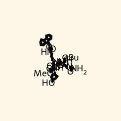 COC(=O)[C@H](Cc1ccc(O)cc1)NC(=O)[C@H](CCCCNC(=O)OCC1c2ccccc2-c2ccccc21)NC(=O)[C@H](CCCNC(N)=O)NC(=O)OC(C)(C)C